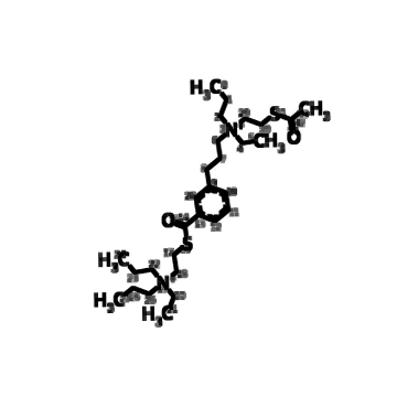 CCC[N+](CC)(CCCc1cccc(C(=O)SCC[N+](CC)(CCC)CCC)c1)CCSC(C)=O